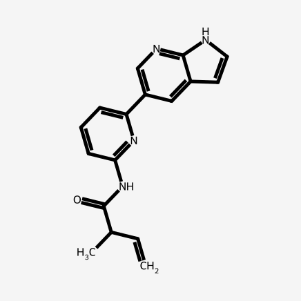 C=CC(C)C(=O)Nc1cccc(-c2cnc3[nH]ccc3c2)n1